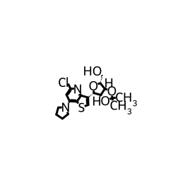 CC1(C)O[C@@H]2[C@H](O1)[C@@H](CO)O[C@H]2c1csc2c(N3CCCC3)cc(Cl)nc12